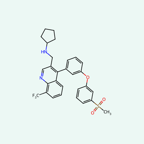 CS(=O)(=O)c1cccc(Oc2cccc(-c3c(CNC4CCCC4)cnc4c(C(F)(F)F)cccc34)c2)c1